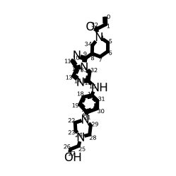 C=CC(=O)N1CCCC(c2ncc3cnc(Nc4ccc(N5CCN(CCO)CC5)cc4)cn23)C1